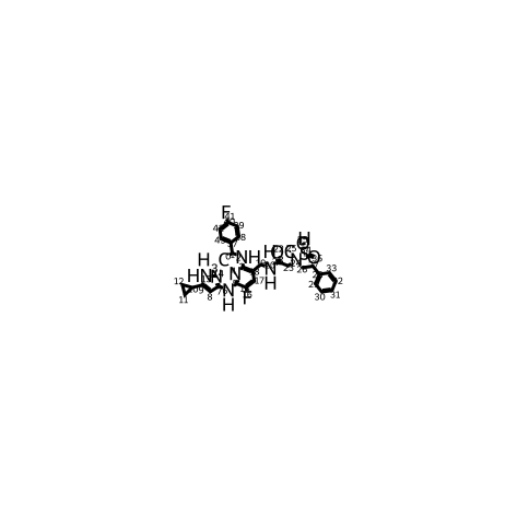 CC(Nc1nc(Nc2cc(C3CC3)[nH]n2)c(F)cc1CNC(=O)C[N@+](C)(CCc1ccccc1)[SH](=O)=O)c1ccc(F)cc1